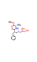 CCCC[C@H](NC(=O)[C@@H](CSCC(O)CO)Cc1ccccc1)C(=O)OC(C)(C)C